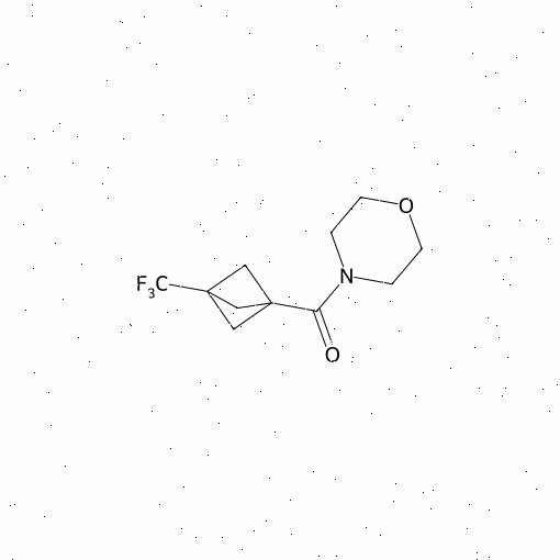 O=C(N1CCOCC1)C12CC(C(F)(F)F)(C1)C2